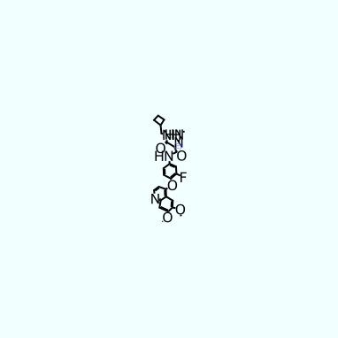 CN/N=C(\C(=O)NCC1CCC1)C(=O)Nc1ccc(Oc2ccnc3cc(OC)c(OC)cc23)c(F)c1